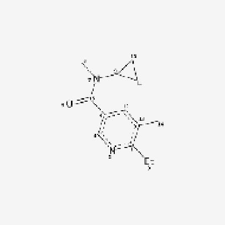 CCc1ncc(C(=O)N(C)C2CC2)cc1C